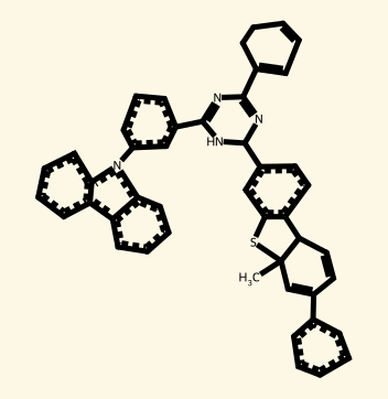 CC12C=C(c3ccccc3)C=CC1c1ccc(C3N=C(C4=CC=CCC4)N=C(c4cccc(-n5c6ccccc6c6ccccc65)c4)N3)cc1S2